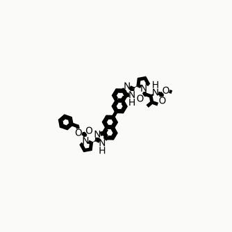 COC(=O)N[C@H](C(=O)N1CCC[C@H]1c1nc2ccc3cc(-c4ccc5c(ccc6[nH]c([C@@H]7CCCN7C(=O)OCc7ccccc7)nc65)c4)ccc3c2[nH]1)C(C)C